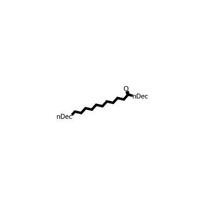 CCCCCCCCCCCCCCCCCCCCC(=O)CCCCCCCCCC